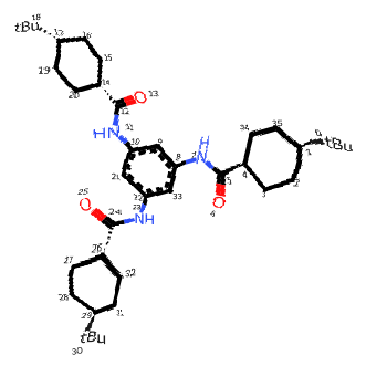 CC(C)(C)[C@H]1CC[C@@H](C(=O)Nc2cc(NC(=O)[C@H]3CC[C@@H](C(C)(C)C)CC3)cc(NC(=O)[C@H]3CC[C@H](C(C)(C)C)CC3)c2)CC1